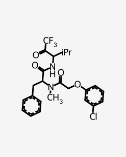 CC(C)C(NC(=O)C(Cc1ccccc1)N(C)C(=O)COc1cccc(Cl)c1)C(=O)C(F)(F)F